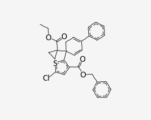 CCOC(=O)C1(C2(c3sc(Cl)cc3C(=O)OCc3ccccc3)C=CC(c3ccccc3)=CC2)CC1